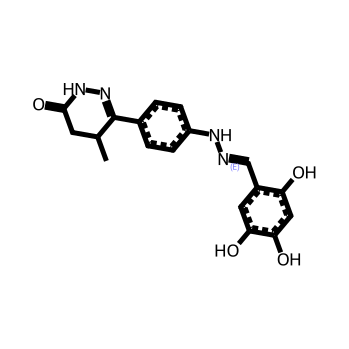 CC1CC(=O)NN=C1c1ccc(N/N=C/c2cc(O)c(O)cc2O)cc1